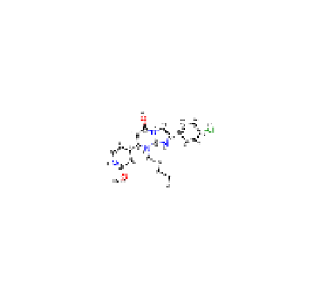 CCCCCn1c(-c2ccnc(OC)c2)cc(=O)n2cc(-c3ccc(Cl)cc3)nc12